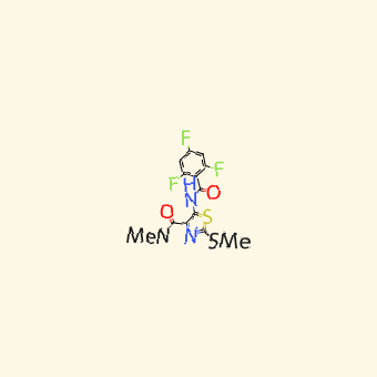 CNC(=O)c1nc(SC)sc1NC(=O)c1c(F)cc(F)cc1F